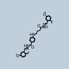 COc1ccc(F)c(/C=N/NC(=O)CCCNc2ccc(C(=O)N/N=C/c3cc(OC)ccc3F)cc2)c1